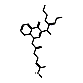 C=C(CC/C=C(\C)BC)CC1C=C(C(C)/C(=C/CC)CCCC)C(=C)C2=CC=CCC21